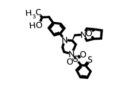 CC(O)Cc1ccc(N2CCN(S(=O)(=O)C3=CC=CCC3=S)C[C@@H]2CN2CC3CCC(C2)O3)cc1